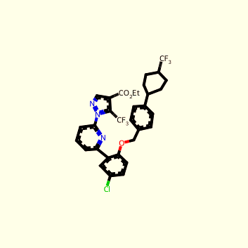 CCOC(=O)c1cnn(-c2cccc(-c3cc(Cl)ccc3OCc3ccc(C4CCC(C(F)(F)F)CC4)cc3)n2)c1C(F)(F)F